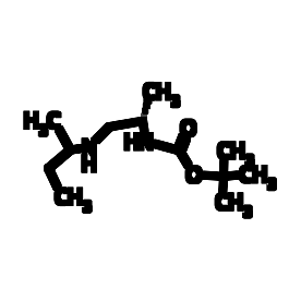 CCC(C)NC[C@H](C)NC(=O)OC(C)(C)C